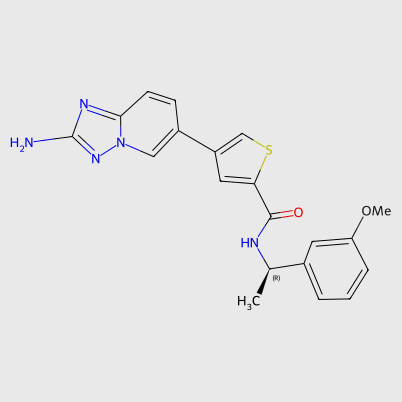 COc1cccc([C@@H](C)NC(=O)c2cc(-c3ccc4nc(N)nn4c3)cs2)c1